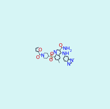 Cc1cc(S(=O)(=O)C2CCN(C(=O)c3ccco3)CC2)c2ncc(C(N)=O)c(Nc3ccc4ncn(C)c4c3)c2c1